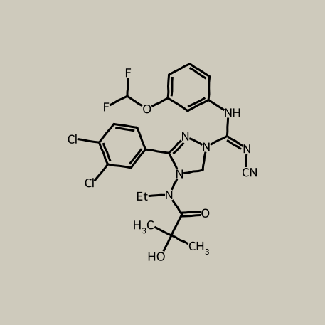 CCN(C(=O)C(C)(C)O)N1CN(/C(=N\C#N)Nc2cccc(OC(F)F)c2)N=C1c1ccc(Cl)c(Cl)c1